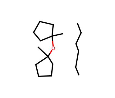 CC1(OC2(C)CCCC2)CCCC1.CCCCCC